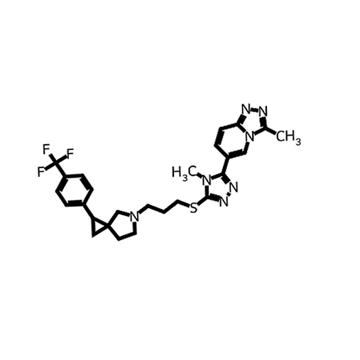 Cc1nnc2ccc(-c3nnc(SCCCN4CCC5(CC5c5ccc(C(F)(F)F)cc5)C4)n3C)cn12